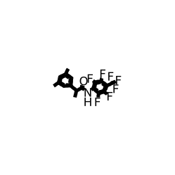 Cc1cc(C)cc(C(C)C(=O)Nc2c(F)c(F)c(C(F)(F)F)c(F)c2F)c1